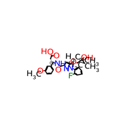 COc1cccc([C@H](CC(=O)O)NC(=O)c2cc(OC[C@@](C)(O)C(C)(C)C)n(-c3ccccc3F)n2)c1